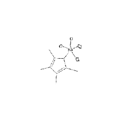 CC1=C(C)[CH]([Nb]([Cl])([Cl])([Cl])[Cl])C(C)=C1C